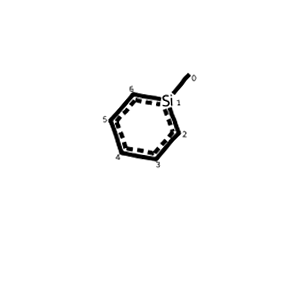 C[si]1ccccc1